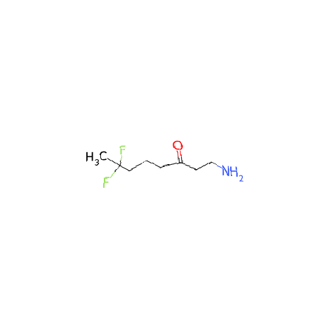 CC(F)(F)CCCC(=O)CCN